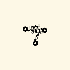 CN1CC(=O)N2[C@@H](Cc3ccccc3)C(=O)N(CCOCc3ccccc3F)C[C@@H]2N1C(=O)NCc1ccccc1